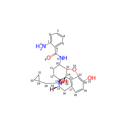 Nc1ccccc1C(=O)NC1CC[C@@]2(O)[C@H]3Cc4ccc(O)c5c4[C@@]2(CCN3CC2CC2)C1O5